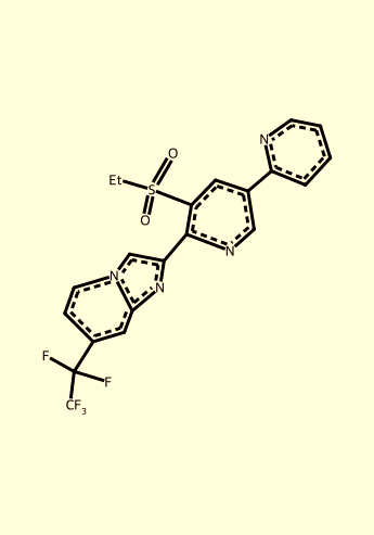 CCS(=O)(=O)c1cc(-c2ccccn2)cnc1-c1cn2ccc(C(F)(F)C(F)(F)F)cc2n1